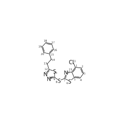 Clc1cccc2sc(Sc3nnc(CCc4ccccc4)s3)nc12